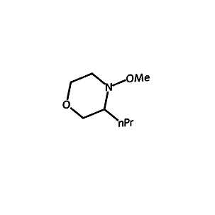 CCCC1COCCN1OC